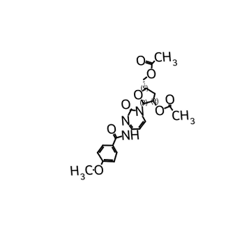 COc1ccc(C(=O)Nc2ccn([C@@H]3O[C@H](COC(C)=O)C[C@H]3OC(C)=O)c(=O)n2)cc1